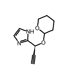 C#C[C@H](OC1CCCCO1)c1ncc[nH]1